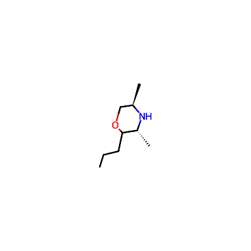 CCCC1OC[C@@H](C)N[C@@H]1C